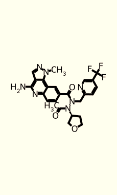 CC(=O)N([C@H]1CCOC1)N(Cc1ccc(C(F)(F)F)cn1)C(=O)c1ccc2nc(N)c3cnn(C)c3c2c1